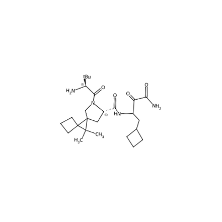 CC(C)(C)[C@H](N)C(=O)N1CC2(C[C@H]1C(=O)NC(CC1CCC1)C(=O)C(N)=O)C(C)(C)C21CCC1